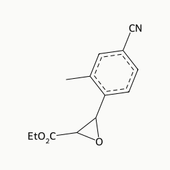 CCOC(=O)C1OC1c1ccc(C#N)cc1C